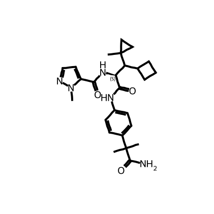 Cn1nccc1C(=O)N[C@H](C(=O)Nc1ccc(C(C)(C)C(N)=O)cc1)C(C1CCC1)C1(C)CC1